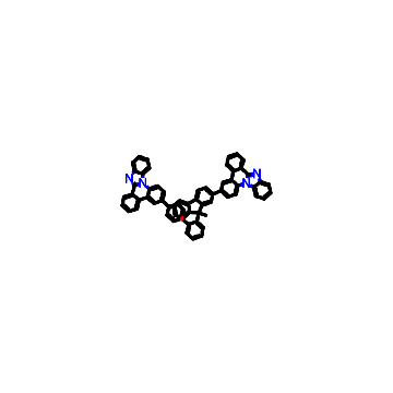 CC1(c2ccccc2-c2ccc(-c3ccc4c(c3)c3ccccc3c3nc5ccccc5n43)cc2)c2ccccc2-c2ccc(-c3ccc4c(c3)c3ccccc3c3nc5ccccc5n43)cc21